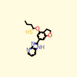 CCCC(S)Oc1cc(-c2nc3ncccc3[nH]2)cc2c1CCO2